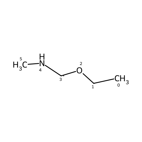 CCO[CH]NC